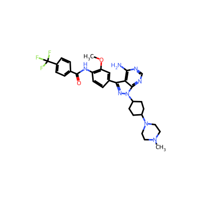 COc1cc(-c2nn(C3CCC(N4CCN(C)CC4)CC3)c3ncnc(N)c23)ccc1NC(=O)c1ccc(C(F)(F)F)cc1